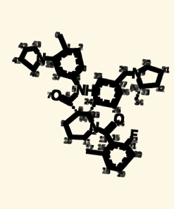 Cc1ccc(NC(=O)[C@H]2CCCN(C(=O)c3c(C)cccc3F)[C@H]2c2ccc(CN3CCC[C@@H]3C)cc2)cc1N1CCCC1